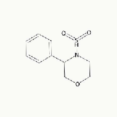 O=[SH](=O)N1CCOCC1c1ccccc1